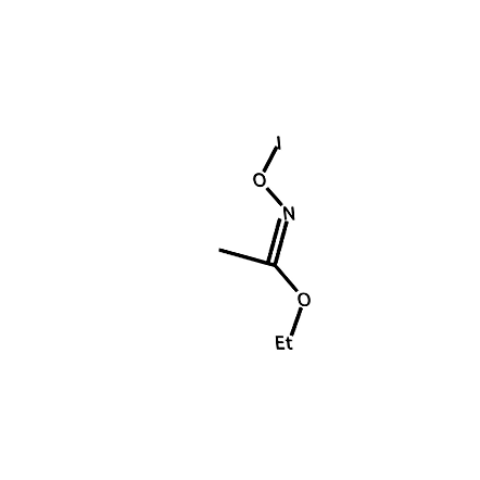 CCO/C(C)=N/OI